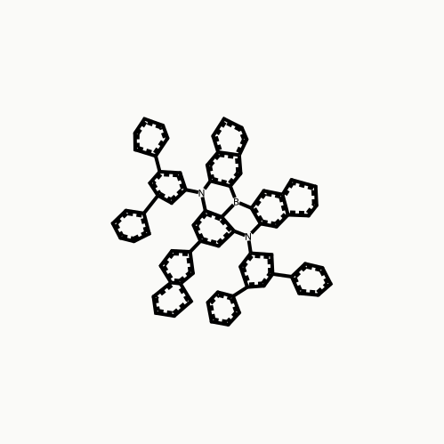 c1ccc(-c2cc(-c3ccccc3)cc(N3c4cc5ccccc5cc4B4c5cc6ccccc6cc5N(c5cc(-c6ccccc6)cc(-c6ccccc6)c5)c5cc(-c6ccc7ccccc7c6)cc3c54)c2)cc1